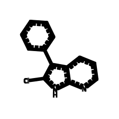 Clc1[nH]c2ncccc2c1-c1ccccc1